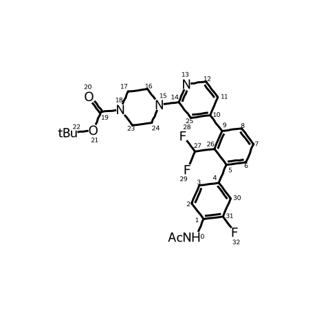 CC(=O)Nc1ccc(-c2cccc(-c3ccnc(N4CCN(C(=O)OC(C)(C)C)CC4)c3)c2C(F)F)cc1F